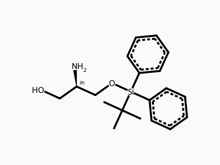 CC(C)(C)[Si](OC[C@H](N)CO)(c1ccccc1)c1ccccc1